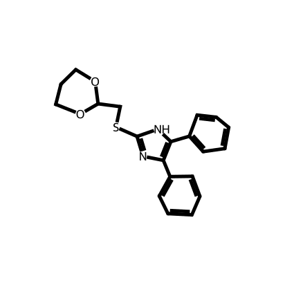 c1ccc(-c2nc(SCC3OCCCO3)[nH]c2-c2ccccc2)cc1